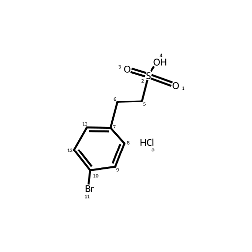 Cl.O=S(=O)(O)CCc1ccc(Br)cc1